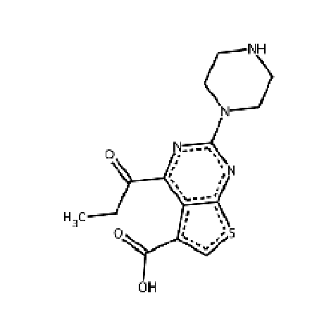 CCC(=O)c1nc(N2CCNCC2)nc2scc(C(=O)O)c12